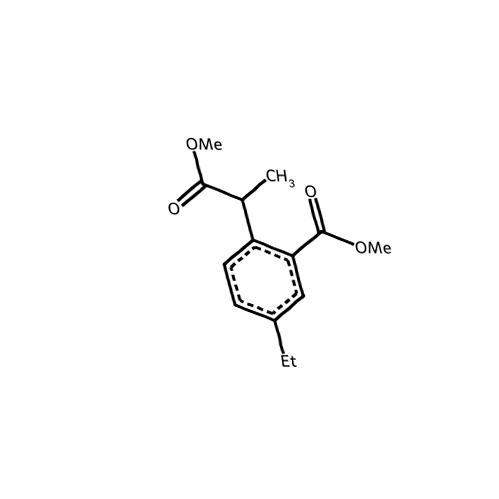 CCc1ccc(C(C)C(=O)OC)c(C(=O)OC)c1